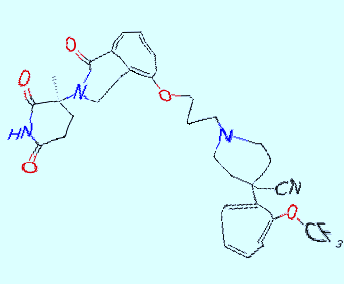 C[C@]1(N2Cc3c(OCCCN4CCC(C#N)(c5ccccc5OC(F)(F)F)CC4)cccc3C2=O)CCC(=O)NC1=O